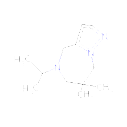 CC(C)N1Cc2ccnn2CC(C)(C)C1